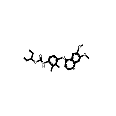 CCC(CC)OC(=O)Nc1ccc(Oc2ccnc3cc(OC)c(OC)cc23)c(C)c1C